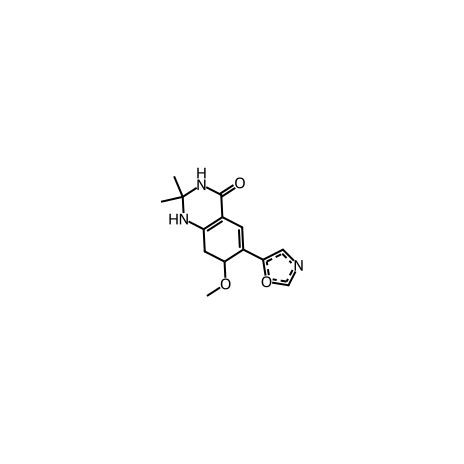 COC1CC2=C(C=C1c1cnco1)C(=O)NC(C)(C)N2